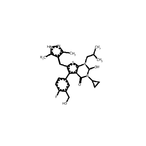 Cc1n[nH]c(C)c1Cc1sc2c(c1-c1ccc(F)c(CO)c1)C(=O)N(C1CC1)C(O)N2CC(C)C